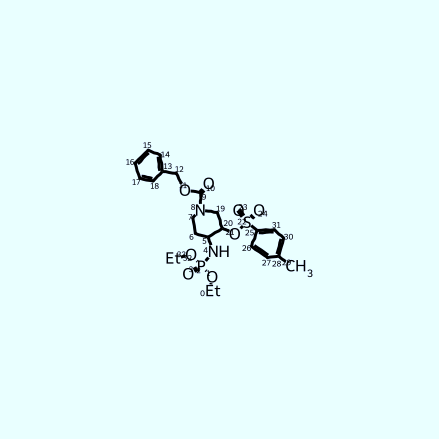 CCOP(=O)(NC1CCN(C(=O)OCc2ccccc2)CC1OS(=O)(=O)c1ccc(C)cc1)OCC